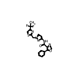 CC(F)(F)c1csc(Cn2ccc(NC(=O)c3ncoc3-c3ccccc3)n2)n1